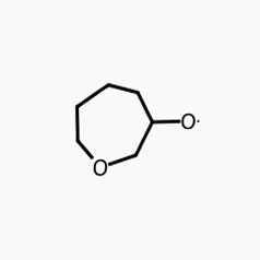 [O]C1CCCCOC1